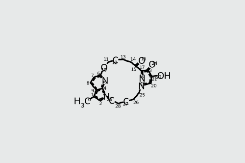 Cc1cn2c3nc(ccc13)OCCCCC(=O)c1nn(cc(O)c1=O)CCCCC2